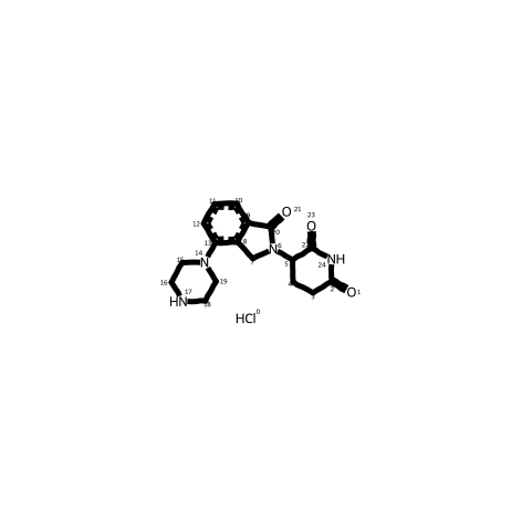 Cl.O=C1CCC(N2Cc3c(cccc3N3CCNCC3)C2=O)C(=O)N1